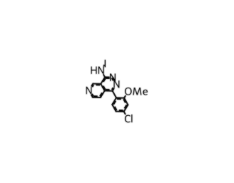 COc1cc(Cl)ccc1-c1nnc(NI)c2cnccc12